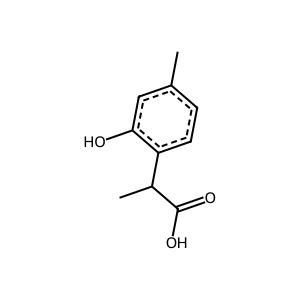 Cc1ccc(C(C)C(=O)O)c(O)c1